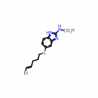 CC/C=C/CCCSc1ccc2[nH]c(NC(=O)O)nc2c1